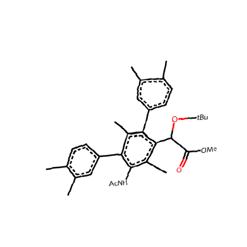 COC(=O)C(OC(C)(C)C)c1c(C)c(NC(C)=O)c(-c2ccc(C)c(C)c2)c(C)c1-c1ccc(C)c(C)c1